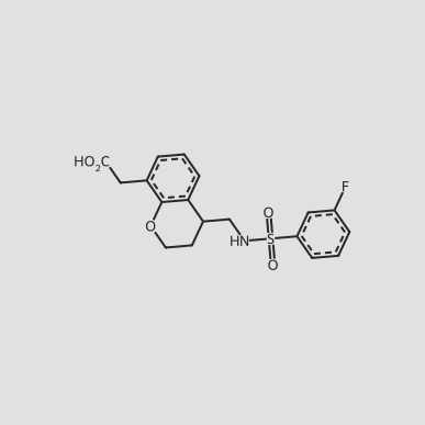 O=C(O)Cc1cccc2c1OCCC2CNS(=O)(=O)c1cccc(F)c1